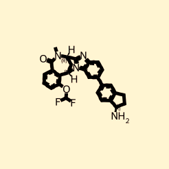 CN1C(=O)c2cccc(OC(F)F)c2[C@H]2C[C@@H]1c1nc3ccc(-c4ccc5c(c4)CC[C@H]5N)cc3n12